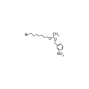 CC(OCCCCCCCBr)OCc1cccc([N+](=O)[O-])c1